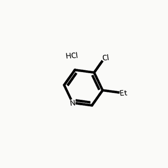 CCc1cnccc1Cl.Cl